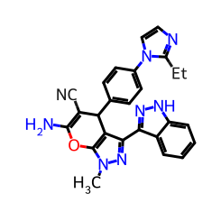 CCc1nccn1-c1ccc(C2C(C#N)=C(N)Oc3c2c(-c2n[nH]c4ccccc24)nn3C)cc1